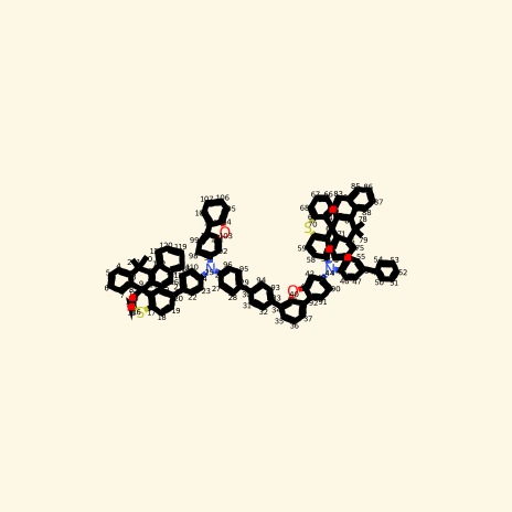 CC1(C)c2ccccc2C2(c3ccccc3Sc3ccc(-c4ccc(N(c5ccc(-c6ccc(-c7cccc8c7oc7cc(N(c9ccc(-c%10ccccc%10)cc9)c9ccc%10c(c9)C9(c%11ccccc%11S%10)c%10ccccc%10C(C)(C)c%10c9ccc9ccccc%109)ccc78)cc6)cc5)c5ccc6c(c5)oc5ccccc56)cc4)cc32)c2ccc3ccccc3c21